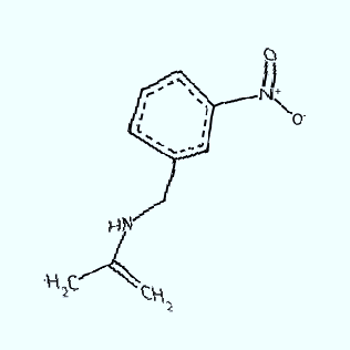 [CH2]C(=C)NCc1cccc([N+](=O)[O-])c1